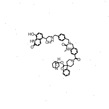 CNC(=O)N(Cc1ccc(CNCC(O)c2ccc(O)c3[nH]c(=O)ccc23)cc1)Cc1ccc(C(=O)N2CCC(C(=O)O[C@H]3CN4CCC3CC4)(c3ccccc3)CC2)cc1